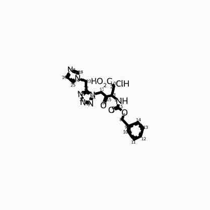 Cl.O=C(O)CC(NC(=O)OCc1ccccc1)C(=O)Cn1nnnc1Cn1ccnc1